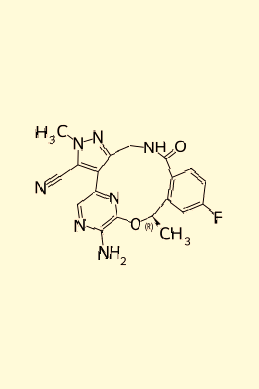 C[C@H]1Oc2nc(cnc2N)-c2c(nn(C)c2C#N)CNC(=O)c2ccc(F)cc21